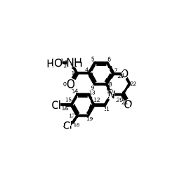 O=C(NO)c1ccc2c(c1)N(Cc1ccc(Cl)c(Cl)c1)C(=O)CO2